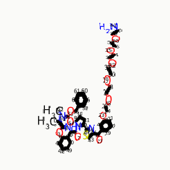 CC(C(=O)NC(C(=O)N1CCC[C@H]1c1nc(C(=O)c2cccc(OCCOCCOCCOCCOCCOCCN)c2)cs1)C1CCCCC1)N(C)C(=O)OCc1ccccc1